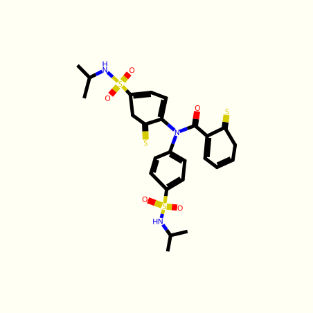 CC(C)NS(=O)(=O)C1=CC=C(N(C(=O)C2=CC=CCC2=S)c2ccc(S(=O)(=O)NC(C)C)cc2)C(=S)C1